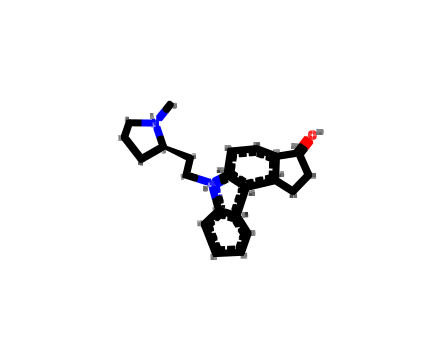 CN1CCC[C@@H]1CCn1c2ccccc2c2c3c(ccc21)C(=O)CC3